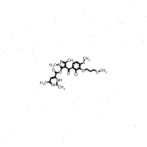 CCN/C(=C\C(C)=N)C(=O)Oc1c(C(=O)c2ccc(SC)c(OCCCOC)c2Cl)c(C)nn1C